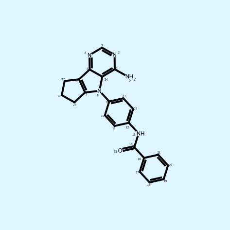 Nc1ncnc2c3c(n(-c4ccc(NC(=O)c5ccccc5)cc4)c12)CCC3